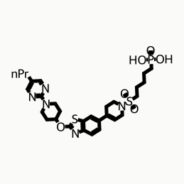 CCCc1cnc(N2CCC(Oc3nc4ccc(C5=CCN(S(=O)(=O)CCCCCP(=O)(O)O)CC5)cc4s3)CC2)nc1